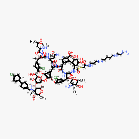 CN[C@H](CC(C)O)C(=O)N[C@H]1C(=O)N[C@@H](CC(N)=O)C(=O)N[C@H]2C(=O)N[C@H]3C(=O)N[C@H](C(=O)N[C@H](C(=O)SCC(=O)NCCCNCCCCCNCCN)c4cc(O)ccc4-c4cc3ccc4C(O)O)[C@H](O[C@H]3C[C@](C)(N)[C@@H](O)[C@H](C)O3)c3ccc(c(Cl)c3)Oc3cc2cc(c3O[C@@H]2O[C@H](CO)[C@@H](O)[C@H](O)[C@H]2O[C@H]2C[C@](C)(NCc3ccc(-c4ccc(Cl)cc4)cc3)[C@@H](O)[C@H](C)O2)Oc2ccc(cc2Cl)[C@H]1O